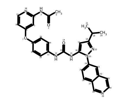 CC(=O)Nc1cc(Oc2ccc(NC(=O)Nc3cc(C(C)C)nn3-c3ccc4cnccc4c3)cc2)ccn1